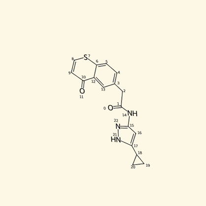 O=C(Cc1ccc2sccc(=O)c2c1)Nc1cc(C2CC2)[nH]n1